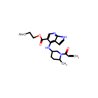 C=CC(=O)N1CC(Nc2c(C(=O)OCCOC)cnc3[nH]ccc23)CCC1C